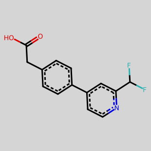 O=C(O)Cc1ccc(-c2ccnc(C(F)F)c2)cc1